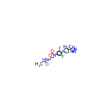 CCC(=O)NCC1CN(c2cc(F)c(N3CCC(C4(C)N=NN=N4)CC3)c(F)c2)C(=O)O1